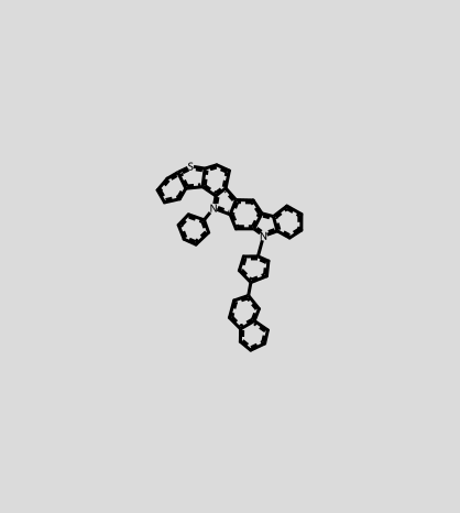 c1ccc(-n2c3cc4c(cc3c3ccc5sc6ccccc6c5c32)c2ccccc2n4-c2ccc(-c3ccc4ccccc4c3)cc2)cc1